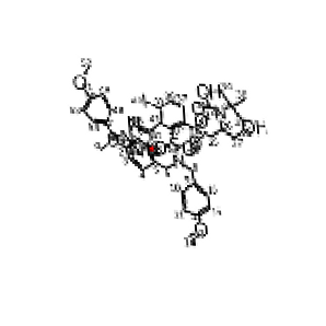 COc1ccc(CN(Cc2ccc(OC)cc2)S(=O)(=O)c2c(S(=O)(=O)CC(CO)N(C(=O)O)C(C)(C)C)ccc(I)c2-c2nnn(Cc3ccc(OC)cc3)n2)cc1